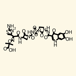 CC(C)(ON=C(C(=O)NC1CN(C(=O)NS(=O)(=O)N2CCN(NC(=O)c3c[nH]c4cc(O)c(O)cc4c3=O)C2=O)C1=O)c1csc(N)n1)C(=O)O